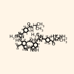 CC(C)CNC(=O)c1ccc(-c2nc(Nc3cc(C4CC4c4c(Nc5nc(-c6ccc(C(=O)NCC(C)(C)N)cc6)nn5C)ccc5[nH]ncc45)c4[nH]ncc4c3C3CC3)n(C)n2)cc1